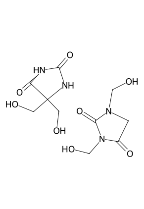 O=C1CN(CO)C(=O)N1CO.O=C1NC(=O)C(CO)(CO)N1